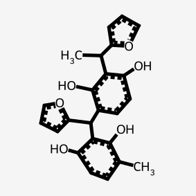 Cc1ccc(O)c(C(c2ccco2)c2ccc(O)c(C(C)c3ccco3)c2O)c1O